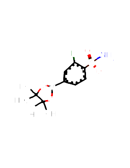 CC1(C)OB(c2ccc(S(N)(=O)=O)c(F)c2)OC1(C)C